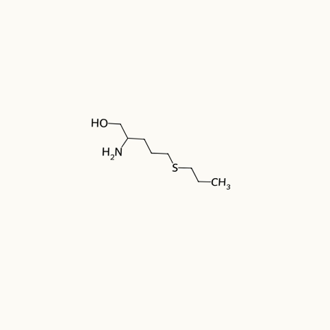 CCCSCCCC(N)CO